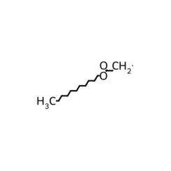 [CH2]CC(=O)OCCCCCCCCCCC